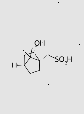 CC1(C)[C@@H]2CC[C@]1(CS(=O)(=O)O)[C@@H](O)C2